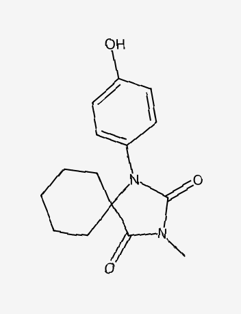 CN1C(=O)N(c2ccc(O)cc2)C2(CCCCC2)C1=O